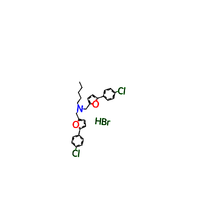 Br.CCCCCN(Cc1ccc(-c2ccc(Cl)cc2)o1)Cc1ccc(-c2ccc(Cl)cc2)o1